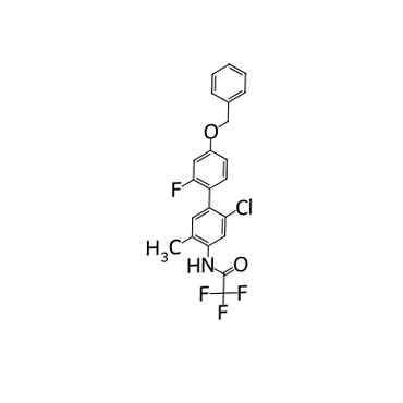 Cc1cc(-c2ccc(OCc3ccccc3)cc2F)c(Cl)cc1NC(=O)C(F)(F)F